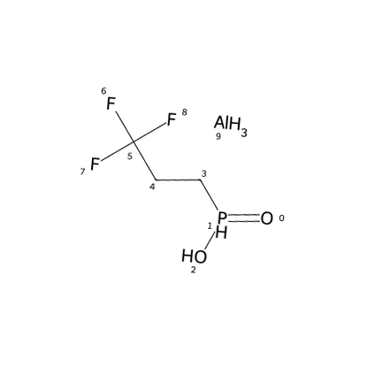 O=[PH](O)CCC(F)(F)F.[AlH3]